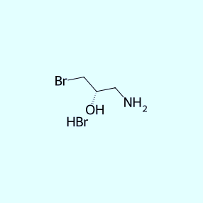 Br.NC[C@H](O)CBr